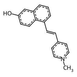 C[n+]1ccc(C=Cc2cccc3cc(O)ccc23)cc1